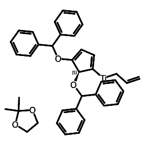 C=C[CH2][Ti][C]1=CC=C(OC(c2ccccc2)c2ccccc2)[C@@H]1OC(c1ccccc1)c1ccccc1.CC1(C)OCCO1